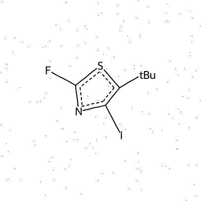 CC(C)(C)c1sc(F)nc1I